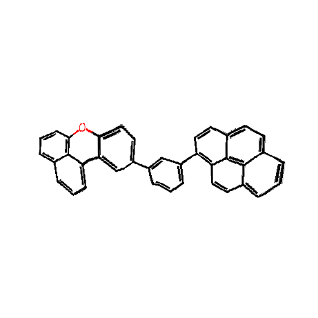 c1cc(-c2ccc3c(c2)-c2cccc4cccc(c24)O3)cc(-c2ccc3ccc4cccc5ccc2c3c45)c1